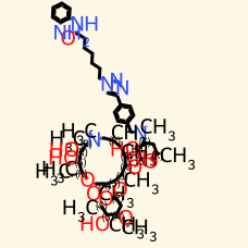 CC[C@H]1OC(=O)[C@H](C)[C@@H](O[C@H]2C[C@@](C)(OC)[C@@H](O)[C@H](C)O2)[C@H](C)[C@@H](O[C@@H]2O[C@H](C)C[C@H](N(C)Cc3ccc(-c4cn(CCCCCCC(=O)Nc5ccccc5N)nn4)cc3)[C@@H]2O)[C@](C)(O)C[C@@H](C)CN(C)[C@H](C)[C@@H](O)[C@]1(C)O